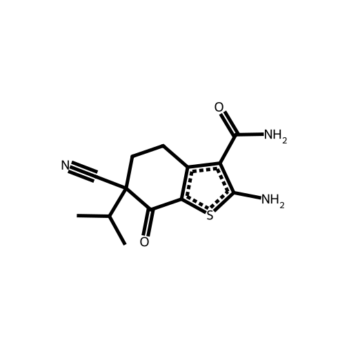 CC(C)C1(C#N)CCc2c(sc(N)c2C(N)=O)C1=O